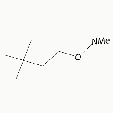 CNOCCC(C)(C)C